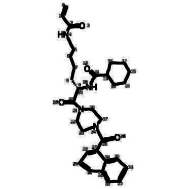 C=CC(=O)NCCCC[C@H](NC(=O)C1CCCCC1)C(=O)N1CCN(C(=O)c2cccc3ccccc23)CC1